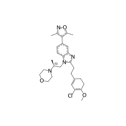 COC1=C(Cl)C=C(CCc2nc3cc(-c4c(C)noc4C)ccc3n2C[C@H](C)N2CCOCC2)CC1